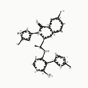 Cc1cc(-n2c([C@H](C)Nc3ncnc(N)c3-c3nnc(C)o3)cc3ccc(F)cc3c2=O)n[nH]1